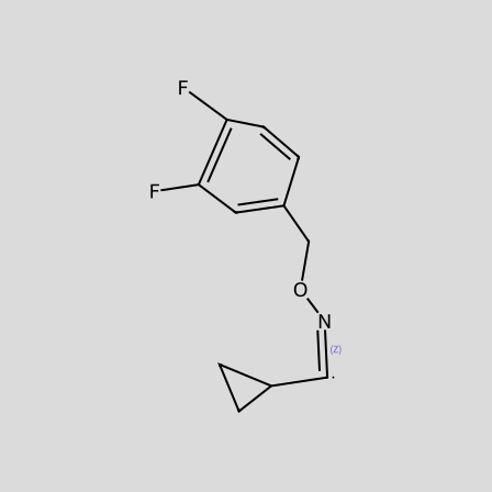 Fc1ccc(CO/N=[C]\C2CC2)cc1F